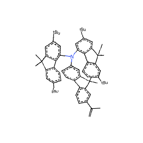 C=C(C)c1ccc2c(c1)C(C)(C)c1cc(N(c3cc(C(C)(C)C)cc4c3-c3ccc(C(C)(C)C)cc3C4(C)C)c3cc(C(C)(C)C)cc4c3-c3ccc(C(C)(C)C)cc3C4(C)C)ccc1-2